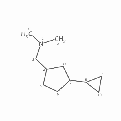 CN(C)CC1CCC(C2CC2)C1